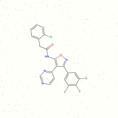 O=C(Cc1ccccc1F)Nc1onc(-c2cc(F)c(F)c(F)c2)c1-c1ccncn1